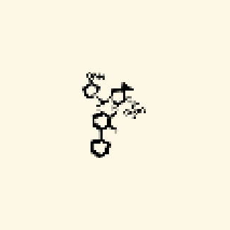 COC1CCN(C(=O)N2CC3(CC3)[C@H](NS(C)(=O)=O)[C@@H]2Cc2cccc(-c3ccccc3)c2F)C1